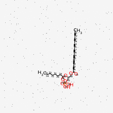 CC#CC#CC#CC#CC#CC#CC#CC(=O)OC[C@@H](COP(=O)(O)O)OC(=O)CCCCCCC